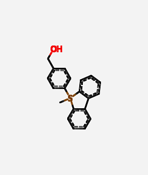 CS1(c2ccc(CO)cc2)c2ccccc2-c2ccccc21